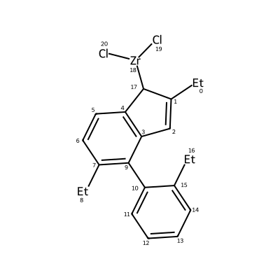 CCC1=Cc2c(ccc(CC)c2-c2ccccc2CC)[CH]1[Zr]([Cl])[Cl]